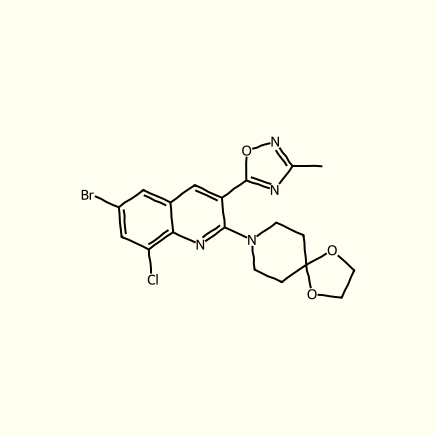 Cc1noc(-c2cc3cc(Br)cc(Cl)c3nc2N2CCC3(CC2)OCCO3)n1